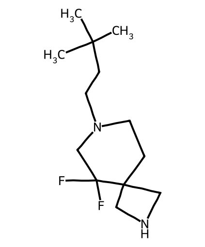 CC(C)(C)CCN1CCC2(CNC2)C(F)(F)C1